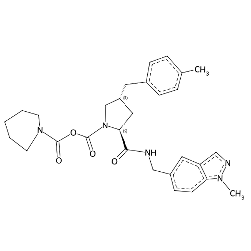 Cc1ccc(C[C@@H]2C[C@@H](C(=O)NCc3ccc4c(cnn4C)c3)N(C(=O)OC(=O)N3CCCCC3)C2)cc1